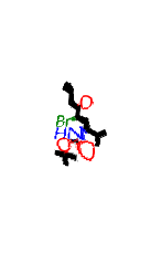 C=CCC(=O)/C(Br)=C/C(NC(=O)OC(C)(C)C)C(C)C